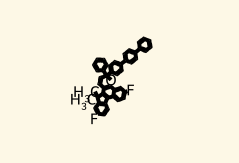 CC1(C)c2cc(F)ccc2-c2c1c1c(c3cc(F)ccc23)OC(c2ccccc2)(c2ccc(-c3ccc(-c4ccccc4)cc3)cc2)C=C1